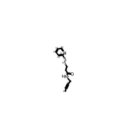 CC#CCNC(=O)CCSSc1ccccn1